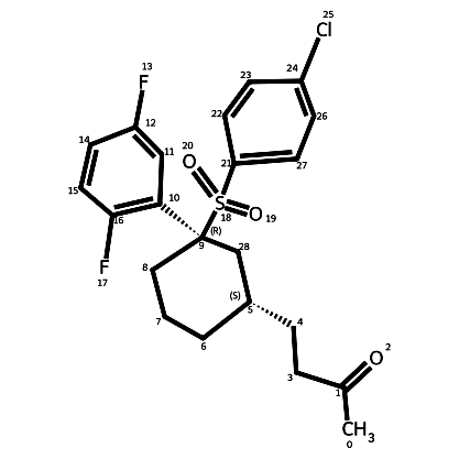 CC(=O)CC[C@@H]1CCC[C@@](c2cc(F)ccc2F)(S(=O)(=O)c2ccc(Cl)cc2)C1